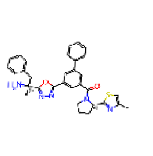 Cc1csc([C@H]2CCCN2C(=O)c2cc(-c3ccccc3)cc(-c3nnc([C@](C)(N)Cc4ccccc4)o3)c2)n1